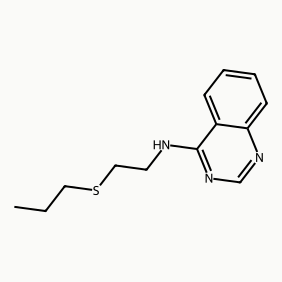 CCCSCCNc1ncnc2ccccc12